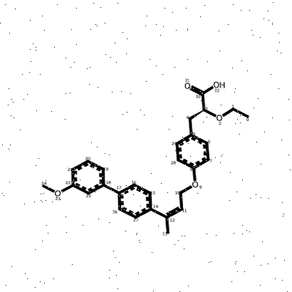 CCO[C@@H](Cc1ccc(OCC=C(C)c2ccc(-c3cccc(OC)c3)cc2)cc1)C(=O)O